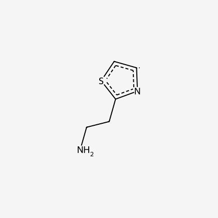 NCCc1n[c]cs1